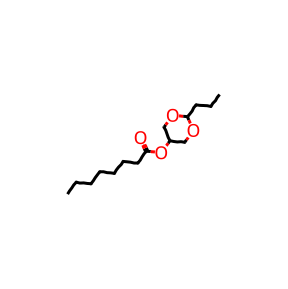 CCCCCCCC(=O)OC1COC(CCC)OC1